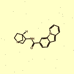 O=C(NC1CN2CC[C@H]1C2)c1ccc2cc3ccccn3c2c1